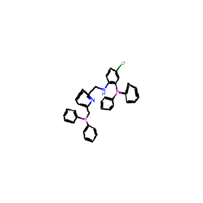 Clc1ccc(NCc2cccc(CP(c3ccccc3)c3ccccc3)n2)c(P(c2ccccc2)c2ccccc2)c1